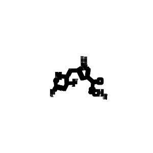 COC(=O)c1c[nH]c(Cc2ncc(F)cc2F)c1